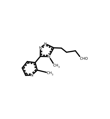 Cc1ncccc1-c1nnc(CCCC=O)n1C